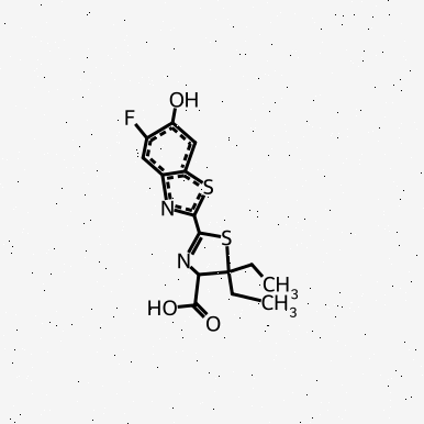 CCC1(CC)SC(c2nc3cc(F)c(O)cc3s2)=NC1C(=O)O